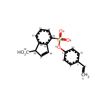 C=Cc1ccc(OS(=O)(=O)c2cccc3c2C=CC3C(=O)O)cc1